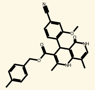 COc1cc(C#N)ccc1C1C(C(=O)OCc2ccc(C)cc2)=C(C)Nc2c(C)c[nH]c(=O)c21